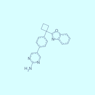 Nc1ncc(-c2ccc(C3(c4nc5ccccc5o4)CCC3)cc2)cn1